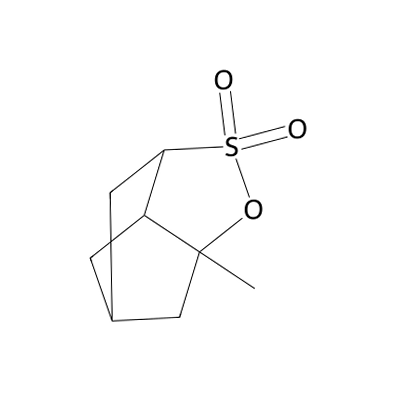 CC12CC3CC1C(C3)S(=O)(=O)O2